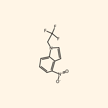 O=[N+]([O-])c1cccc2c1ccn2CC(F)(F)F